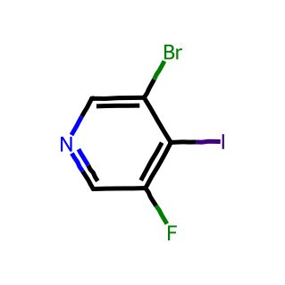 Fc1cncc(Br)c1I